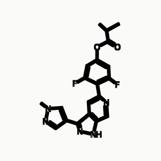 CC(C)C(=O)Oc1cc(F)c(-c2cc3c(-c4cnn(C)c4)n[nH]c3cn2)c(F)c1